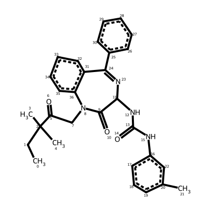 CCC(C)(C)C(=O)CN1C(=O)C(NC(=O)Nc2cccc(C)c2)N=C(c2ccccc2)c2ccccc21